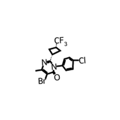 Cc1nc([C@H]2C[C@@H](C(F)(F)F)C2)n(-c2ccc(Cl)cc2)c(=O)c1Br